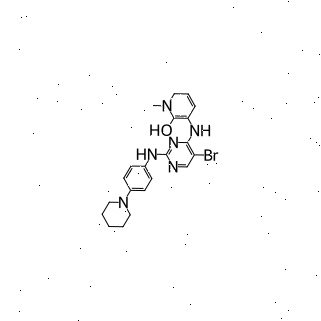 CN1CC=CC(Nc2nc(Nc3ccc(N4CCCCC4)cc3)ncc2Br)=C1O